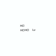 Cl.Cl.Cl.[Lu]